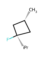 CC(C)[C@]1(F)C[C@H](C)C1